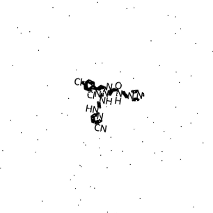 CN1CCN(CCNC(=O)c2cn3c(NCCNc4ccc(C#N)cn4)nc(-c4ccc(Cl)cc4Cl)cc3n2)CC1